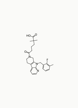 Cc1cccc(Cn2c3c(c4cccnc42)CCN(C(=O)CCCC(C)(C)C(=O)O)C3)c1F